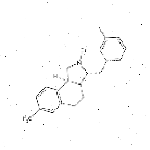 CCN1C[C@@H]2c3ccc(C(F)(F)F)cc3CCC2[C@H]1Cc1cccc(C)c1